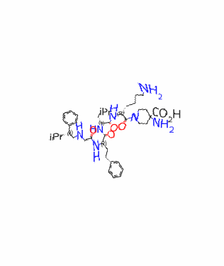 CC(C)C[C@@H](NC(=O)[C@@H](CCc1ccccc1)NC(=O)CNC[C@@H](c1ccccc1)C(C)C)C(=O)N[C@H](CCCCN)C(=O)N1CCC(N)(C(=O)O)CC1